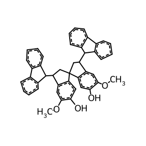 COc1cc2c(cc1O)C1(CC2C2c3ccccc3-c3ccccc32)CC(C2c3ccccc3-c3ccccc32)c2cc(OC)c(O)cc21